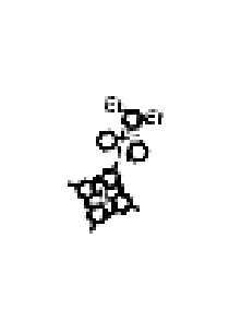 CCc1cc(CC)cc([PH+](C2CCCCC2)C2CCCCC2)c1.Cc1cc(C)c([B-](c2c(C)cc(C)cc2C)(c2c(C)cc(C)cc2C)c2c(C)cc(C)cc2C)c(C)c1